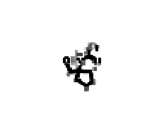 CC(C)C(=O)NC1(CO)CCCC1